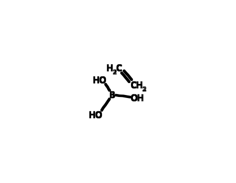 C=C.OB(O)O